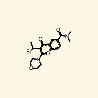 CC(Br)c1c(N2CCOCC2)oc2ccc(C(=O)N(C)C)cc2c1=O